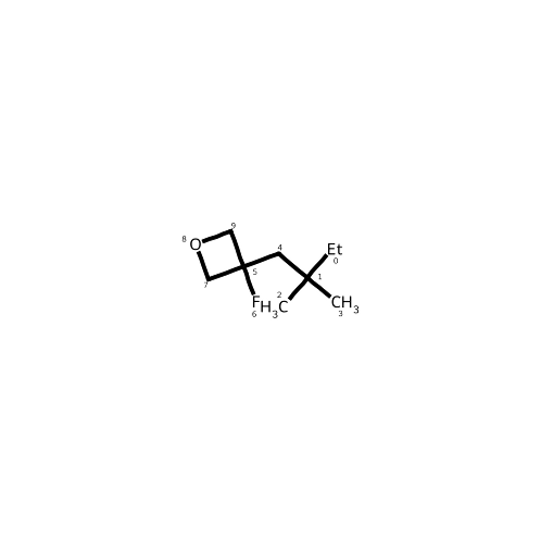 CCC(C)(C)CC1(F)COC1